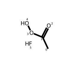 CC(=O)OO.F